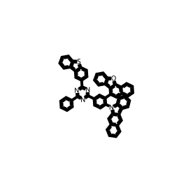 c1ccc(-c2nc(-c3ccc(-n4c5ccccc5c5cc6ccccc6cc54)c(-c4cc5ccccc5c5oc6ccccc6c45)c3)nc(-c3ccc4sc5ccccc5c4c3)n2)cc1